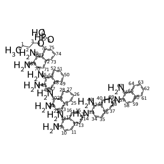 CCCCO[PH](=O)O.Nc1ccc2ccccc2c1N.Nc1ccc2ccccc2c1N.Nc1ccc2ccccc2c1N.Nc1ccc2ccccc2c1N.Nc1ccc2ccccc2c1N.Nc1ccc2ccccc2c1N